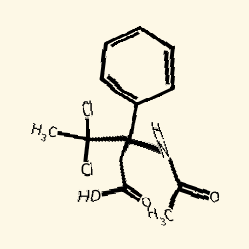 CC(=O)NC(C(=O)O)(c1ccccc1)C(C)(Cl)Cl